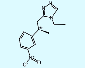 CCn1cnnc1C[C@@H](C)c1cccc([N+](=O)[O-])c1